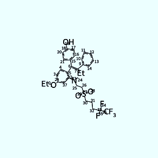 CCOc1ccc(C(=C(CC)c2ccccc2)c2ccc(O)cc2)c(N(C)CCS(=O)(=O)CCCC(F)(F)C(F)(F)F)c1